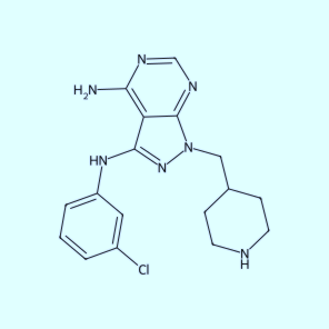 Nc1ncnc2c1c(Nc1cccc(Cl)c1)nn2CC1CCNCC1